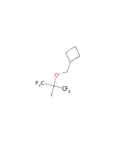 CC(OCC1CCC1)(C(F)(F)F)C(F)(F)F